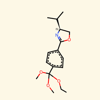 CCOC(OC)(OC)c1ccc(C2=N[C@@H](C(C)C)CO2)cc1